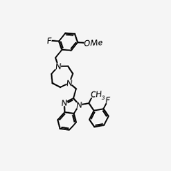 COc1ccc(F)c(CN2CCCN(Cc3nc4ccccc4n3C(C)c3ccccc3F)CC2)c1